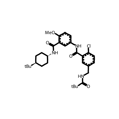 COc1ccc(NC(=O)c2cc(CNC(=O)C(C)(C)C)ccc2Cl)cc1C(=O)N[C@H]1CC[C@H](C(C)(C)C)CC1